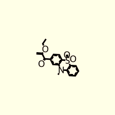 C=C(OCC)C(=O)c1ccc2c(c1)N(C)c1ccccc1S2(=O)=O